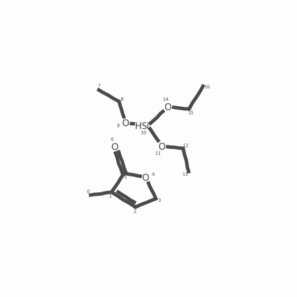 CC1=CCOC1=O.CCO[SiH](OCC)OCC